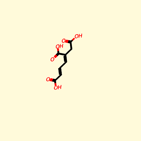 O=C(O)C=CC=C(CC(=O)O)C(=O)O